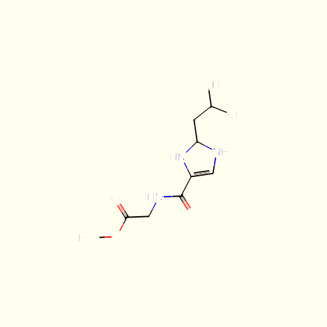 COC(=O)CNC(=O)C1=CNC(C[C](C)C)N1